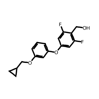 OCc1c(F)cc(Oc2cccc(OCC3CC3)c2)cc1F